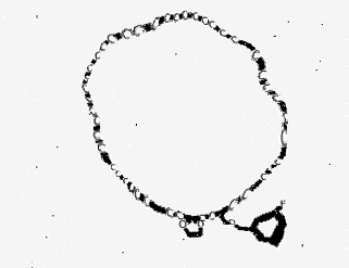 Fc1cccc(COCC2CCCCCCCCCCCCCCCCCCCCCCCCCCCCCCCCCCCCCCCCCCCCCCCCC3(CC2)OCCO3)c1